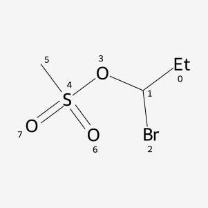 CCC(Br)OS(C)(=O)=O